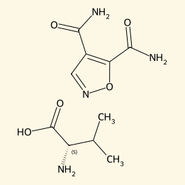 CC(C)[C@H](N)C(=O)O.NC(=O)c1cnoc1C(N)=O